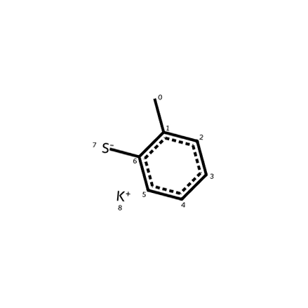 Cc1ccccc1[S-].[K+]